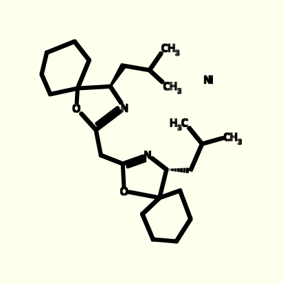 CC(C)C[C@H]1N=C(CC2=N[C@H](CC(C)C)C3(CCCCC3)O2)OC12CCCCC2.[Ni]